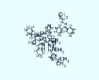 CC(C)c1nc(CN(C)C(=O)N[C@H](C(=O)N[C@@H](Cc2ccccc2)C[C@H](O)[C@H](Cc2ccccc2)NC(=O)OCc2cncs2)C(C)C)cs1.CCCCCC(c1ccccc1)c1ccccc1